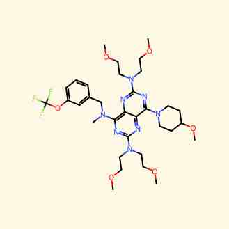 COCCN(CCOC)c1nc(N2CCC(OC)CC2)c2nc(N(CCOC)CCOC)nc(N(C)Cc3cccc(OC(F)(F)F)c3)c2n1